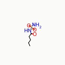 CCCCC(=O)NS(N)(=O)=O